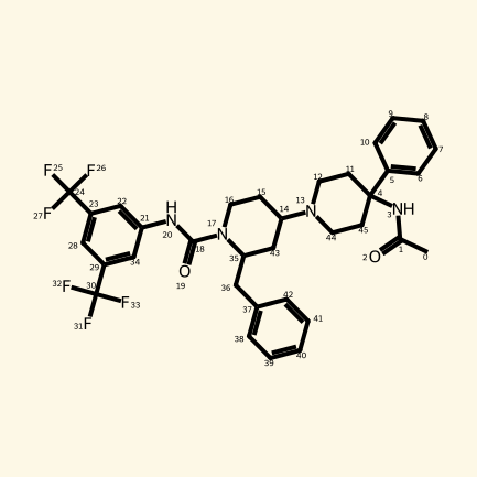 CC(=O)NC1(c2ccccc2)CCN(C2CCN(C(=O)Nc3cc(C(F)(F)F)cc(C(F)(F)F)c3)C(Cc3ccccc3)C2)CC1